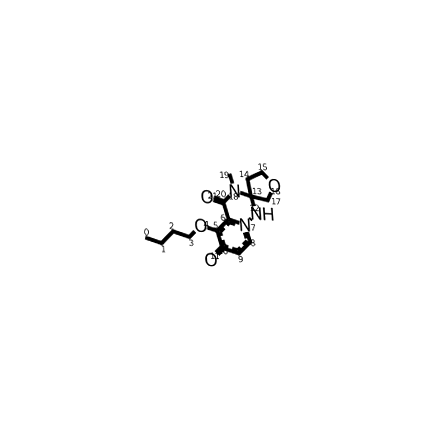 CCCCOc1c2n(ccc1=O)NC1(CCOC1)N(C)C2=O